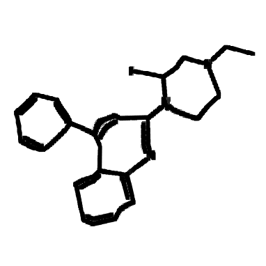 CCN1CCN(c2cc(-c3ccccc3)c3ccccc3n2)C(I)C1